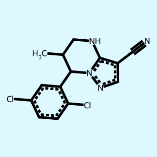 CC1CNc2c(C#N)cnn2C1c1cc(Cl)ccc1Cl